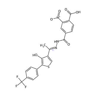 C/C(=N\NC(=O)c1ccc(C(=O)O)c([N+](=O)[O-])c1)c1csc(-c2ccc(C(F)(F)F)cc2)c1O